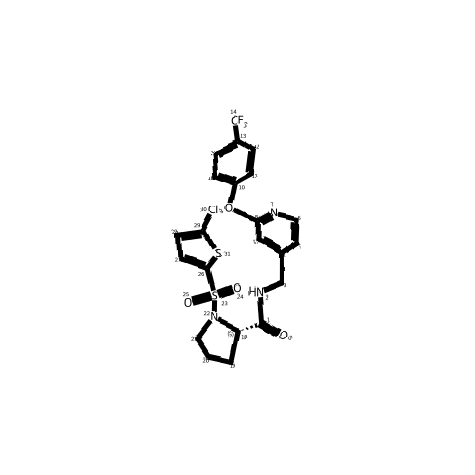 O=C(NCc1ccnc(Oc2ccc(C(F)(F)F)cc2)c1)[C@@H]1CCCN1S(=O)(=O)c1ccc(Cl)s1